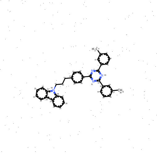 Cc1cccc(-c2nc(-c3ccc(CCCn4c5ccccc5c5ccccc54)cc3)nc(-c3cccc(C)c3)n2)c1